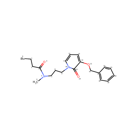 CCC(C)CCC(=O)N(C)CCCn1cccc(OCc2ccccc2)c1=O